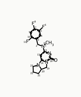 CN(Cc1cc(F)c(F)cc1F)c1cc2n(c(=O)n1)CC1CCCN21